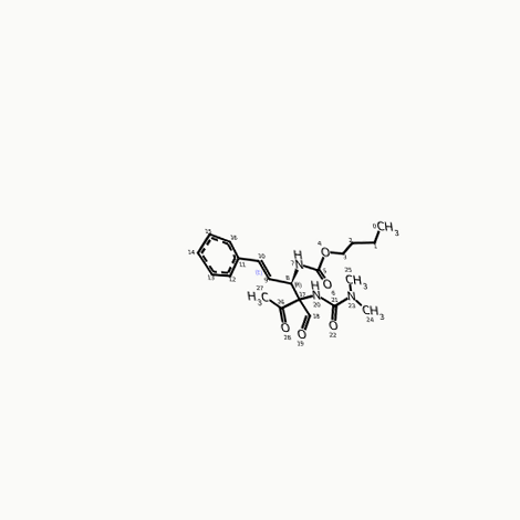 CCCCOC(=O)N[C@H](/C=C/c1ccccc1)C(C=O)(NC(=O)N(C)C)C(C)=O